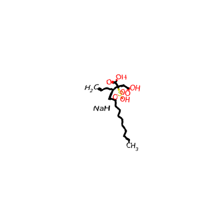 C=CCC(CCCCCCCCCCC)C(CC(=O)O)(C(=O)O)S(=O)(=O)O.[NaH]